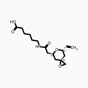 C=C[C@@H]1C[C@]2(CO2)C[C@@H](CC(=O)NCCCCCC(=O)O)O1